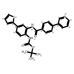 CC(C)(C)OC(=O)Nc1ccc(-c2cccs2)cc1NC(=O)c1ccc(-c2cccnc2)cc1